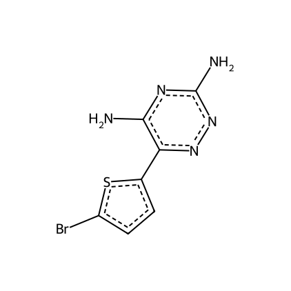 Nc1nnc(-c2ccc(Br)s2)c(N)n1